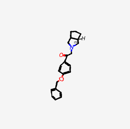 O=C(CN1CC2CCC[C@@H]2C1)c1ccc(OCc2ccccc2)cc1